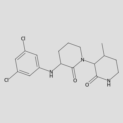 CC1CCNC(=O)C1N1CCCC(Nc2cc(Cl)cc(Cl)c2)C1=O